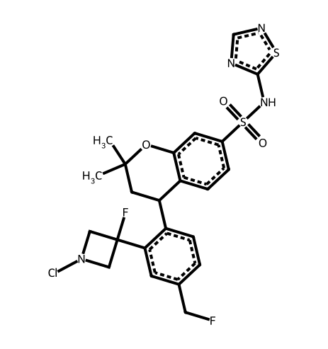 CC1(C)CC(c2ccc(CF)cc2C2(F)CN(Cl)C2)c2ccc(S(=O)(=O)Nc3ncns3)cc2O1